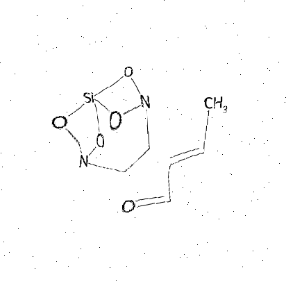 C1CN2O[Si]3(ON1O3)O2.CC=CC=O